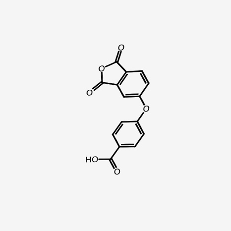 O=C(O)c1ccc(Oc2ccc3c(c2)C(=O)OC3=O)cc1